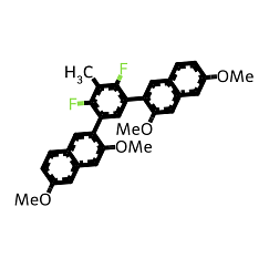 COc1ccc2cc(-c3cc(-c4cc5ccc(OC)cc5cc4OC)c(F)c(C)c3F)c(OC)cc2c1